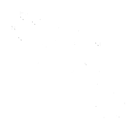 O=C(Cc1cc[nH]c1-c1cc(-c2ccccc2)cs1)C(=O)c1nn[nH]n1